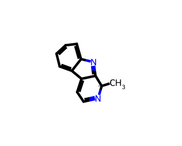 C[C]1N=CC=C2C1=Nc1ccccc12